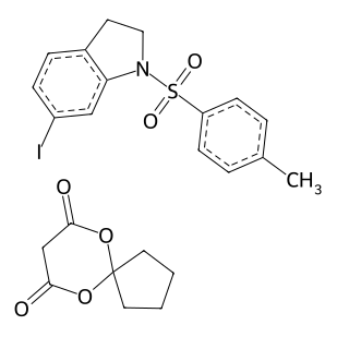 Cc1ccc(S(=O)(=O)N2CCc3ccc(I)cc32)cc1.O=C1CC(=O)OC2(CCCC2)O1